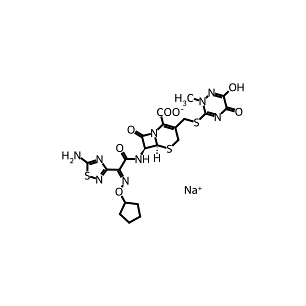 Cn1nc(O)c(=O)nc1SCC1=C(C(=O)[O-])N2C(=O)[C@H](NC(=O)C(=NOC3CCCC3)c3nsc(N)n3)[C@@H]2SC1.[Na+]